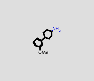 COc1cccc(C2CCC(N)CC2)c1